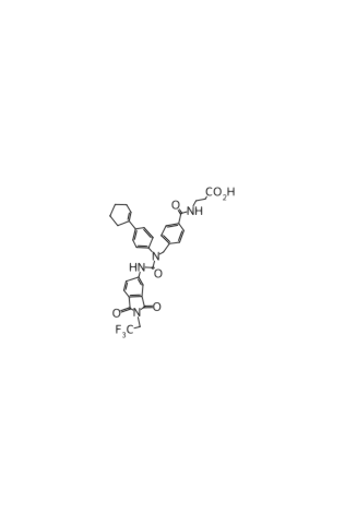 O=C(O)CCNC(=O)c1ccc(CN(C(=O)Nc2ccc3c(c2)C(=O)N(CC(F)(F)F)C3=O)c2ccc(C3=CCCCC3)cc2)cc1